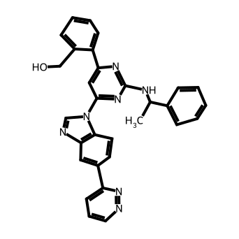 CC(Nc1nc(-c2ccccc2CO)cc(-n2cnc3cc(-c4cccnn4)ccc32)n1)c1ccccc1